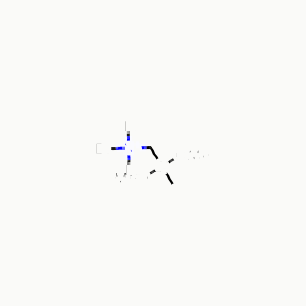 CC[N+](CC)(CC)C[Si](C)(OC)OC